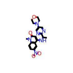 CC(Nc1cc(=O)n(C)c2ccc([N+](=O)[O-])cc12)c1ncc(N2CCOCC2)cn1